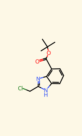 CC(C)(C)OC(=O)c1cccc2[nH]c(CCl)nc12